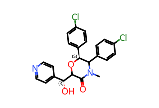 CN1C(=O)C([C@H](O)c2ccncc2)O[C@@H](c2ccc(Cl)cc2)C1c1ccc(Cl)cc1